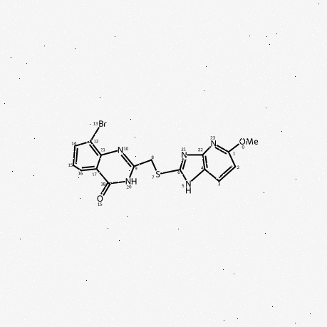 COc1ccc2[nH]c(SCc3nc4c(Br)cccc4c(=O)[nH]3)nc2n1